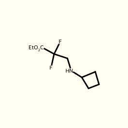 CCOC(=O)C(F)(F)CNC1CCC1